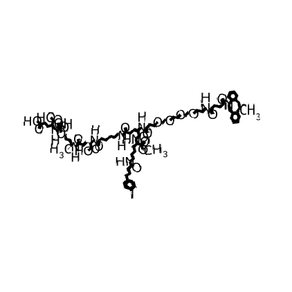 COC(=O)C(CCCCNC(=O)CCCc1ccc(I)cc1)NC(=O)C(CCC(=O)NCCCCCC(=O)N[C@@H](CCC(=O)N[C@H](C)CCCOP(=O)(O)NC(CCC(=O)O)C(=O)O)C(=O)O)NC(=O)CCOCCOCCOCCOCCNC(=O)CCC(=O)N1Cc2ccccc2/C(C)=C\c2ccccc21